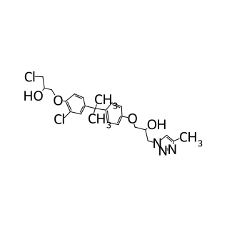 Cc1cn(CC(O)COc2ccc(C(C)(C)c3ccc(OCC(O)CCl)c(Cl)c3)cc2)nn1